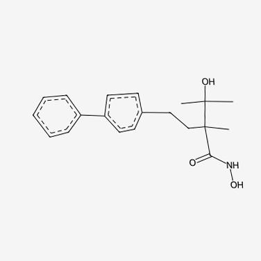 CC(C)(O)C(C)(CCc1ccc(-c2ccccc2)cc1)C(=O)NO